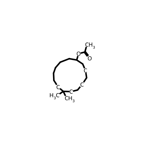 CC(=O)OC1CCCCCCC(C)(C)CCCCCC1